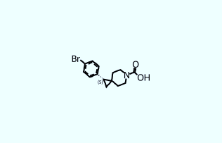 O=C(O)N1CCC2(CC1)C[C@@H]2c1ccc(Br)cc1